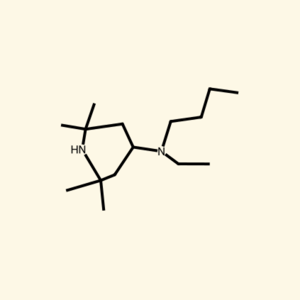 CCCCN(CC)C1CC(C)(C)NC(C)(C)C1